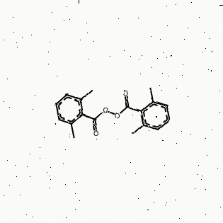 Cc1cccc(C)c1C(=O)OOC(=O)c1c(C)cccc1C